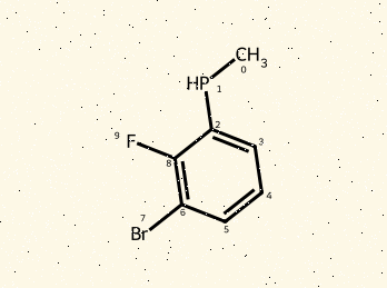 CPc1cccc(Br)c1F